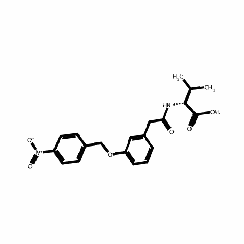 CC(C)[C@@H](NC(=O)Cc1cccc(OCc2ccc([N+](=O)[O-])cc2)c1)C(=O)O